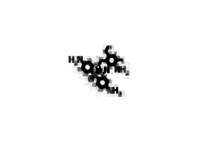 CCc1cc(C)c(N)c(N)c1CC.Nc1ccc(S(=O)(=O)c2ccc(N)cc2)cc1